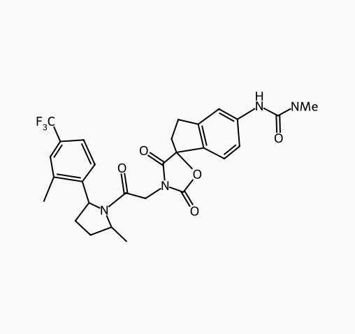 CNC(=O)Nc1ccc2c(c1)CCC21OC(=O)N(CC(=O)N2C(C)CCC2c2ccc(C(F)(F)F)cc2C)C1=O